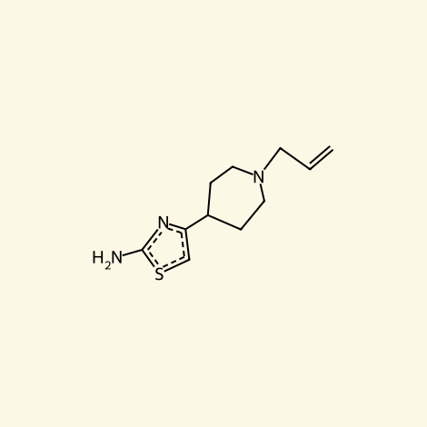 C=CCN1CCC(c2csc(N)n2)CC1